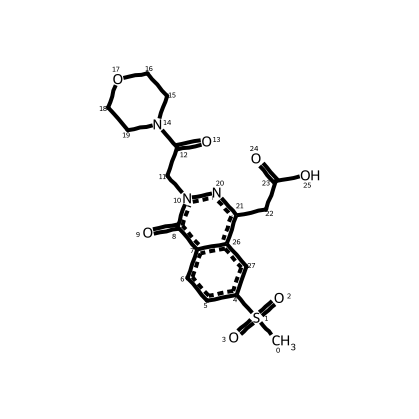 CS(=O)(=O)c1ccc2c(=O)n(CC(=O)N3CCOCC3)nc(CC(=O)O)c2c1